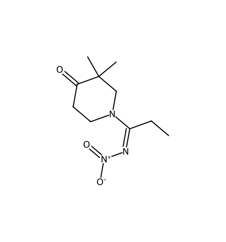 CC/C(=N/[N+](=O)[O-])N1CCC(=O)C(C)(C)C1